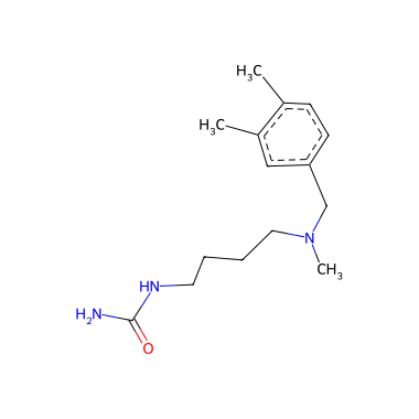 Cc1ccc(CN(C)CCCCNC(N)=O)cc1C